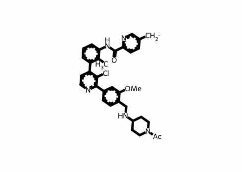 [CH2]c1ccc(C(=O)Nc2cccc(-c3ccnc(-c4ccc(CNC5CCN(C(C)=O)CC5)c(OC)c4)c3Cl)c2C)nc1